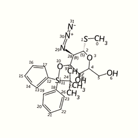 CS[C@@H]1OC(CO)[C@H](O)C(O[Si](c2ccccc2)(c2ccccc2)C(C)(C)C)[C@H]1N=[N+]=[N-]